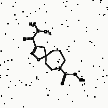 CN(C)C(=O)C1=NOC2(CCCN(C(=O)OC(C)(C)C)CC2)C1